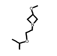 COC1CN(CCOC(C)C)C1